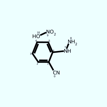 N#Cc1ccccc1NN.O=[N+]([O-])O